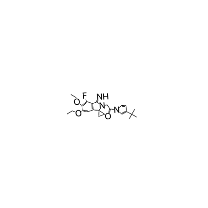 CCOc1cc2c(c(F)c1OCC)C(=N)N(CC(=O)n1ccc(C(C)(C)C)c1)C21CC1